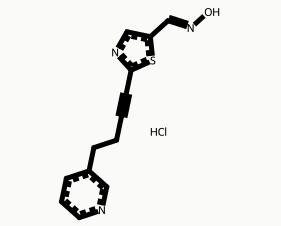 Cl.ON=Cc1cnc(C#CCCc2cccnc2)s1